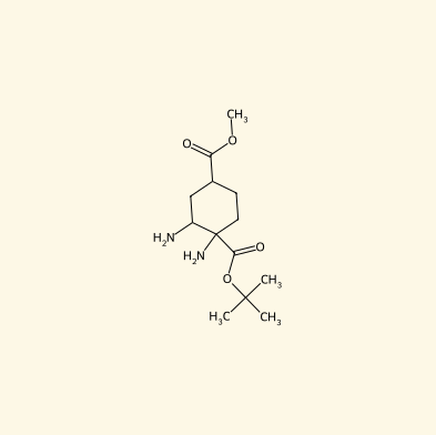 COC(=O)C1CCC(N)(C(=O)OC(C)(C)C)C(N)C1